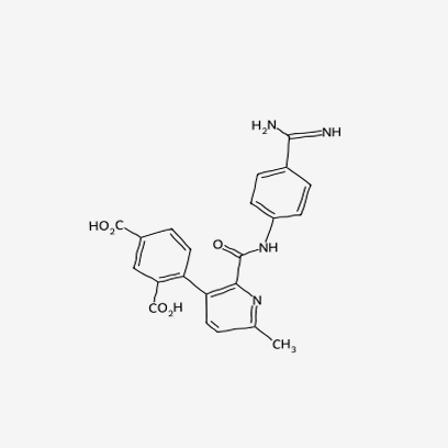 Cc1ccc(-c2ccc(C(=O)O)cc2C(=O)O)c(C(=O)Nc2ccc(C(=N)N)cc2)n1